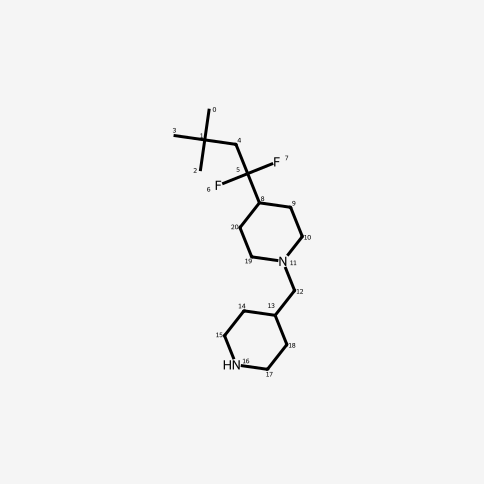 CC(C)(C)CC(F)(F)C1CCN(CC2CCNCC2)CC1